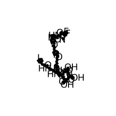 N#C[C@H]1CC(F)(F)CN1C(=O)CNC(=O)c1ccnc2ccc(OCCCC3CCN(C(=O)CCCCC/C=N/NC(CCCCNC(=O)CCCc4ccc(I)cc4)NC(=O)CN4CCN(CC(=O)O)CCN(CC(=O)O)CCN(CC(=O)O)CC4)CC3)cc12